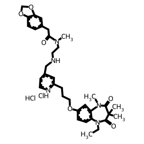 CCN1C(=O)C(C)(C)C(=O)N(C)c2cc(OCCCc3cc(CNCCN(C)C(=O)Cc4ccc5c(c4)OCO5)ccn3)ccc21.Cl.Cl